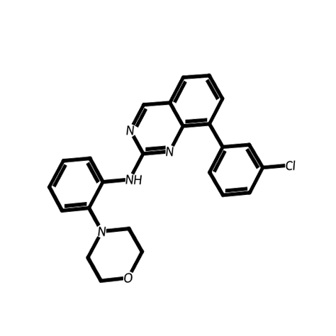 Clc1cccc(-c2cccc3cnc(Nc4ccccc4N4CCOCC4)nc23)c1